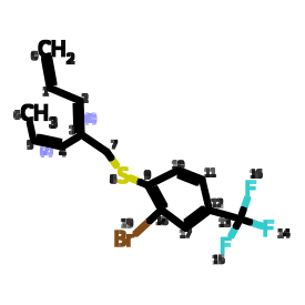 C=C/C=C(\C=C/C)CSc1ccc(C(F)(F)F)cc1Br